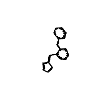 C1=CC(=Cc2ccccc2Cc2ccccc2)C=C1